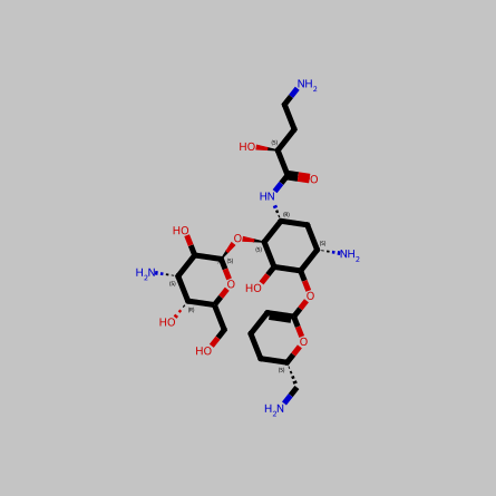 NCC[C@H](O)C(=O)N[C@@H]1C[C@H](N)C(OC2=CCC[C@@H](CN)O2)C(O)[C@H]1O[C@H]1OC(CO)[C@H](O)[C@H](N)C1O